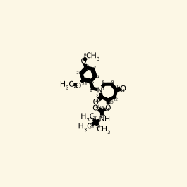 COc1ccc(CN2CCC(=O)CC(OC(=O)NC(C)(C)C)C2=O)c(OC)c1